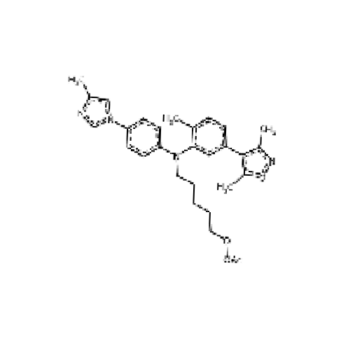 CC(=O)OOCCCCCN(c1ccc(-n2cnc(C)c2)cc1)c1cc(-c2c(C)noc2C)ccc1C